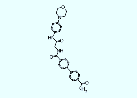 NC(=O)c1ccc(-c2ccc(C(=O)NCC(=O)Nc3ccc(N4CCOCC4)cc3)cc2)cc1